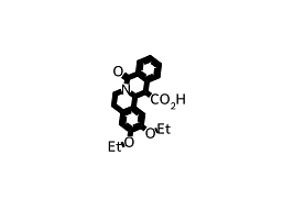 CCOc1cc2c(cc1OCC)C1C(C(=O)O)c3ccccc3C(=O)N1CC2